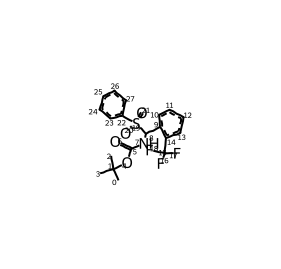 CC(C)(C)OC(=O)NC(c1ccccc1C(F)(F)F)S(=O)(=O)c1ccccc1